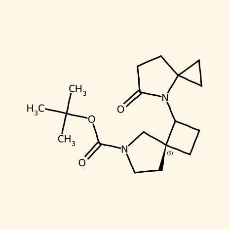 CC(C)(C)OC(=O)N1CC[C@@]2(CCC2N2C(=O)CCC23CC3)C1